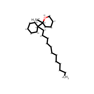 CCCCCCCCCCCCC1(C2([SiH3])CCCCO2)CCCCC1